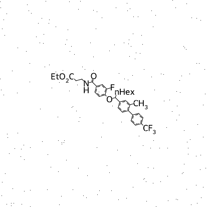 CCCCCCC(Oc1ccc(C(=O)NCCC(=O)OCC)cc1F)c1ccc(-c2ccc(C(F)(F)F)cc2)c(C)c1